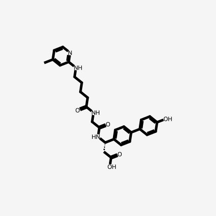 Cc1ccnc(NCCCCC(=O)NCC(=O)N[C@@H](CC(=O)O)c2ccc(-c3ccc(O)cc3)cc2)c1